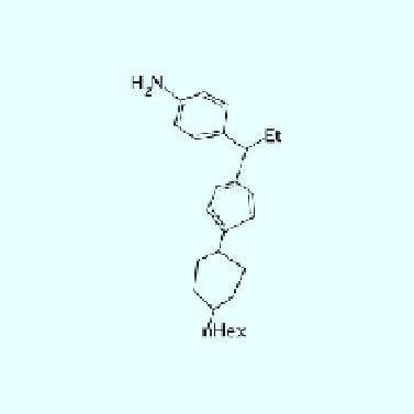 CCCCCCC1CCC(c2ccc(C(CC)c3ccc(N)cc3)cc2)CC1